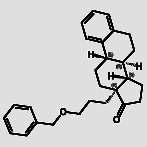 O=C1CC[C@H]2[C@@H]3CCc4ccccc4[C@H]3CC[C@]12CCCOCc1ccccc1